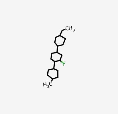 CCC1CCC(C2CCC(C3CCC(C)CC3)C(F)C2)CC1